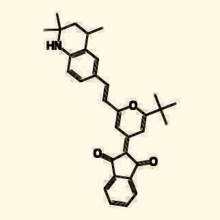 CC1CC(C)(C)Nc2ccc(C=CC3=CC(=C4C(=O)c5ccccc5C4=O)C=C(C(C)(C)C)O3)cc21